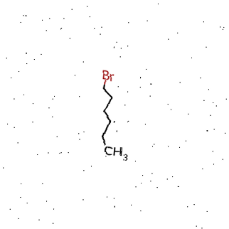 CC[CH]CCCBr